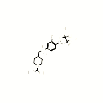 CC(O)N1CCC(CS(=O)(=O)c2ccc(B3OC(C)(C)C(C)(C)O3)c(F)c2)CC1